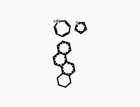 C1=CC=CNC=C1.c1ccc2c(c1)ccc1c3c(ccc12)CCCC3.c1ccsc1